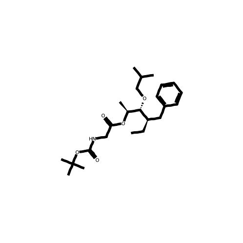 CC[C@H](Cc1ccccc1)[C@@H](OCC(C)C)[C@H](C)OC(=O)CNC(=O)OC(C)(C)C